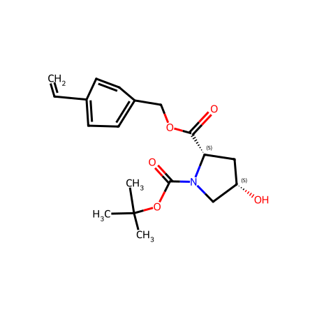 C=Cc1ccc(COC(=O)[C@@H]2C[C@H](O)CN2C(=O)OC(C)(C)C)cc1